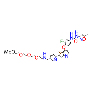 COCCOCCOCCOCCNCc1ccc(-c2cc3nccc(Oc4ccc(NC(=O)Nc5cc(C)on5)cc4F)c3s2)nc1